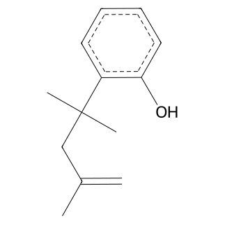 C=C(C)CC(C)(C)c1ccccc1O